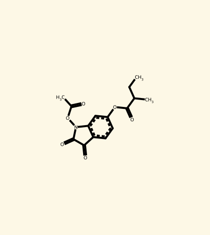 CCC(C)C(=O)Oc1ccc2c(c1)N(OC(C)=O)C(=O)C2=O